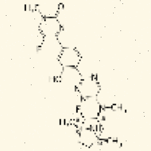 CN(c1cnc(-c2ccc(-c3nc(=O)n(C)cc3F)cc2O)nn1)[C@H]1C[C@]2(C)CC[C@@](C)(N2)[C@H]1F